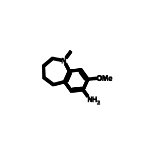 COc1cc2c(cc1N)CCCCN2C